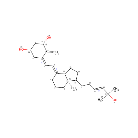 C=C1/C(=C\C=C2/CCC[C@]3(C)C(CC/C=C/C(C)(C)O)CCC23)CC(O)C[C@@H]1O